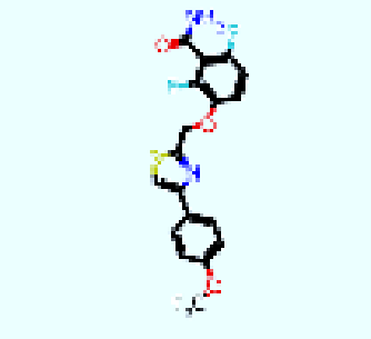 NC(=O)c1c(F)ccc(OCc2nc(-c3ccc(OC(F)(F)F)cc3)cs2)c1F